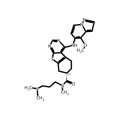 COc1c(Nc2ncnc3sc4c(c23)CC[C@H](C(=O)N(C)CCCN(C)C)C4)ccn2nccc12